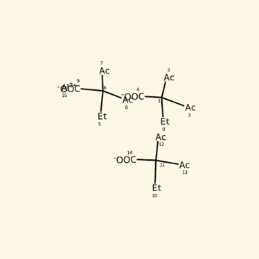 CCC(C(C)=O)(C(C)=O)C(=O)[O-].CCC(C(C)=O)(C(C)=O)C(=O)[O-].CCC(C(C)=O)(C(C)=O)C(=O)[O-].[Al+3]